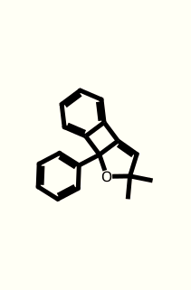 CC1(C)C=C2c3ccccc3C2(c2ccccc2)O1